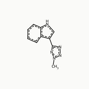 Cn1nnc(-c2c[nH]c3ccccc23)n1